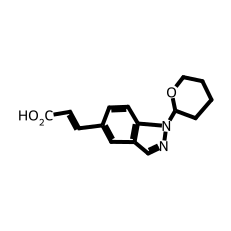 O=C(O)C=Cc1ccc2c(cnn2C2CCCCO2)c1